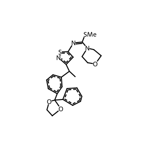 CSC(=Nc1cc(C(C)c2cccc(C3(c4ccccc4)OCCO3)c2)ns1)N1CCOCC1